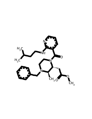 COC(=O)C[C@@H]1[C@@H](C)N(Cc2ccccc2)CCN1C(=O)c1cccnc1NCCC(C)C